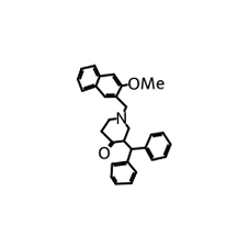 COc1cc2ccccc2cc1CN1CCC(=O)C(C(c2ccccc2)c2ccccc2)C1